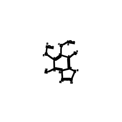 CCCCCCCCOc1c(OCCCCCCCC)c(Br)c2snnc2c1Br